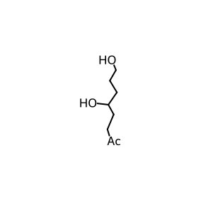 CC(=O)CCC(O)CCCO